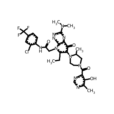 CCc1c(N2CCN(C(=O)c3ncnc(C)c3O)CC2C)c(=O)c2nc(N(C)C)nnc2n1CC(=O)Nc1ccc(C(F)(F)F)cc1Cl